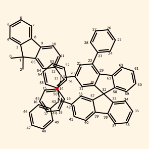 CC1(C)c2ccccc2-c2ccc(N(c3ccccc3)c3cc(-c4ccccc4)c4c(c3)C3(c5ccccc5-c5ccc(N(c6ccccc6)c6ccccc6)cc53)c3ccccc3-4)cc21